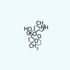 Cc1ccc(S(=O)(=O)C(O)c2cc(C)c3[nH]ccc3c2COC2CCCCO2)cc1